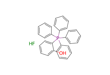 F.Oc1ccccc1P(c1ccccc1)(c1ccccc1)(c1ccccc1)c1ccccc1